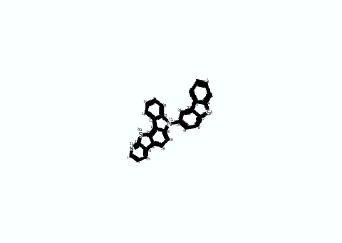 c1ccc2c(c1)sc1ccc(-n3c4ccccc4c4c5sc6ncccc6c5ccc43)cc12